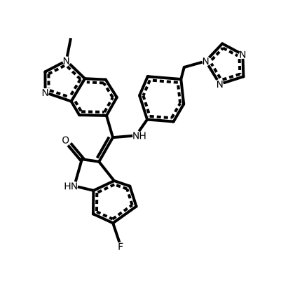 Cn1cnc2cc(C(Nc3ccc(Cn4cncn4)cc3)=C3C(=O)Nc4cc(F)ccc43)ccc21